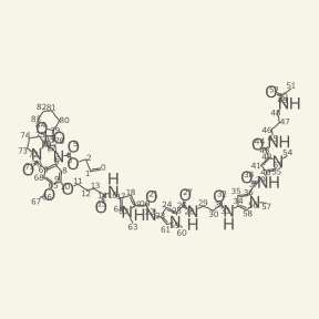 C=CCOC(=O)N1c2cc(OCCCC(=O)Nc3cc(C(=O)Nc4cc(C(=O)NCCC(=O)Nc5cc(C(=O)Nc6cc(C(=O)NCCCNC(C)=O)n(C)c6)n(C)c5)n(C)c4)n(C)c3)c(OC)cc2C(=O)N2CCC[C@H]2[C@@H]1OC1CCCCO1